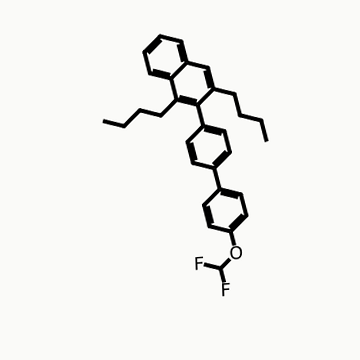 CCCCc1cc2ccccc2c(CCCC)c1-c1ccc(-c2ccc(OC(F)F)cc2)cc1